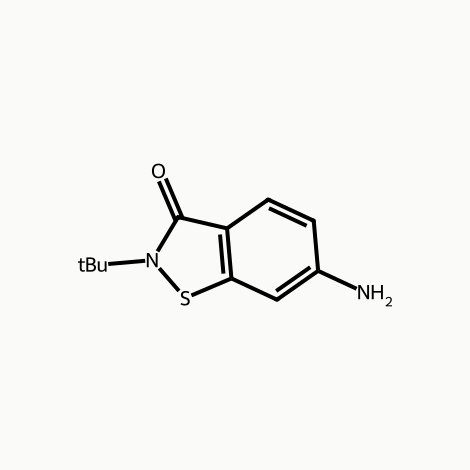 CC(C)(C)n1sc2cc(N)ccc2c1=O